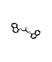 O=C(COc1cccc2ccccc12)COc1cccc2ccccc12